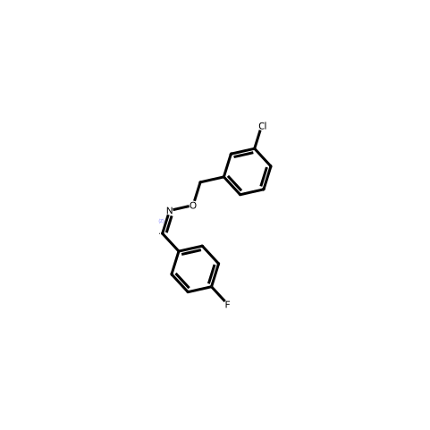 Fc1ccc(/[C]=N\OCc2cccc(Cl)c2)cc1